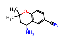 CC1(C)C[C@H](N)c2cc(C#N)ccc2O1